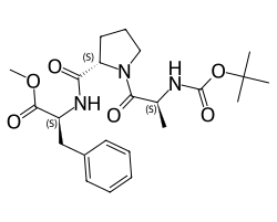 COC(=O)[C@H](Cc1ccccc1)NC(=O)[C@@H]1CCCN1C(=O)[C@H](C)NC(=O)OC(C)(C)C